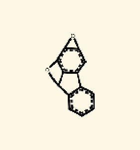 c1ccc2c(c1)-c1cc3c(c4c1C2O4)O3